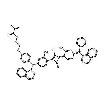 C=C(C)C(=O)OCCOc1ccc(N(c2ccc(C3=C([O-])/C(=C4C=C/C(=[N+](/c5ccccc5)c5cccc6ccccc56)C=C/4O)C3=O)c(O)c2)c2cccc3ccccc23)cc1